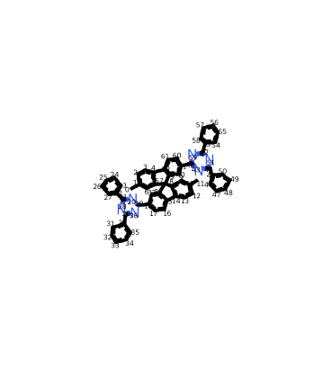 Cc1ccc2c(c1)C1(c3cc(C)ccc3-c3ccc(-c4nc(-c5ccccc5)nc(-c5ccccc5)n4)cc31)c1cc(-c3nc(-c4ccccc4)nc(-c4ccccc4)n3)ccc1-2